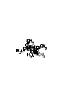 CCO[Si](OCC)(OCC)SOS[Si](OCC)(OCC)OCC